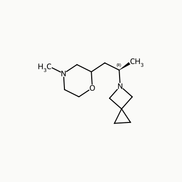 C[C@H](CC1CN(C)CCO1)N1CC2(CC2)C1